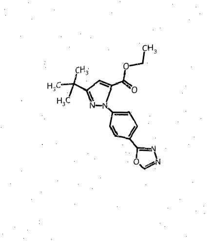 CCOC(=O)c1cc(C(C)(C)C)nn1-c1ccc(-c2nnco2)cc1